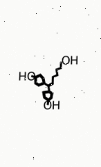 OCCCCCC=C(c1ccc(O)cc1)c1ccc(O)cc1